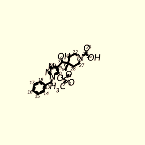 CS(=O)(=O)OCC1(C(O)c2cn(Cc3ccccc3)nn2)CCN(C(=O)O)CC1